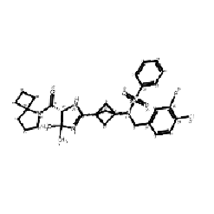 CC1(C)N=C(C23CC(N(Cc4ccc(Cl)c(F)c4)S(=O)(=O)c4ccccc4)(C2)C3)N[C@H]1C(=O)N1CCCC12CCC2